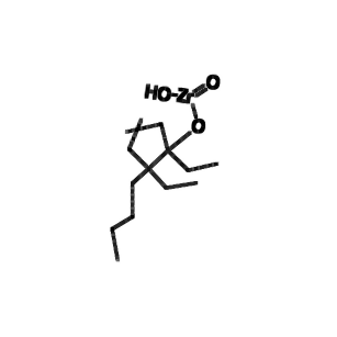 CCCCC(CC)(CC)C(CC)(CC)[O][Zr](=[O])[OH]